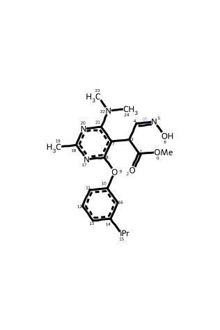 COC(=O)C(/C=N\O)c1c(Oc2cccc(C(C)C)c2)nc(C)nc1N(C)C